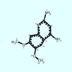 COc1cc2nc(N)cc(N)c2cc1OC